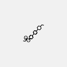 CCC(=O)Oc1ccc(-c2ccc(C3CCC(CC)CC3)cc2)cc1